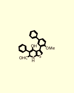 COc1ccc(-c2ccccc2)cc1-c1csc2c1C(O)=C(c1ccccc1)C(C=O)N2